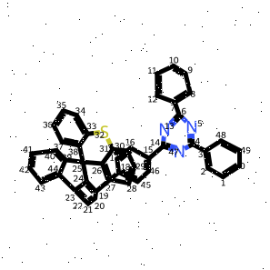 c1ccc(-c2nc(-c3ccccc3)nc(-c3ccc(-c4cccc5c4C4(c6ccccc6Sc6ccccc64)c4ccccc4-5)cc3)n2)cc1